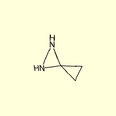 C1CC12NN2